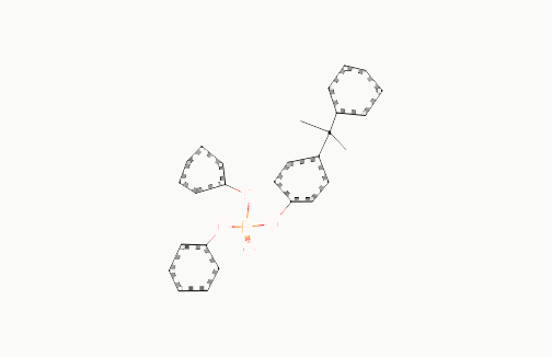 CC(C)(c1ccccc1)c1ccc(OP(=O)(Oc2ccccc2)Oc2ccccc2)cc1